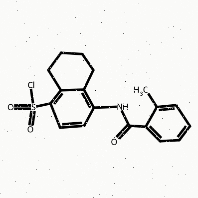 Cc1ccccc1C(=O)Nc1ccc(S(=O)(=O)Cl)c2c1CCCC2